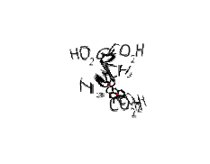 CC(Cc1ccccc1)(c1ccc(C(C)(Cc2ccccc2)c2ccc(C(=O)O)c(C(=O)O)c2)cc1)c1ccc(C(=O)O)c(C(=O)O)c1